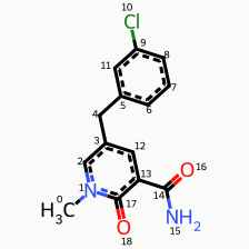 Cn1cc(Cc2cccc(Cl)c2)cc(C(N)=O)c1=O